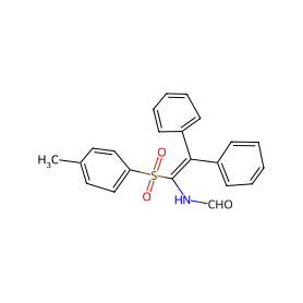 Cc1ccc(S(=O)(=O)C(NC=O)=C(c2ccccc2)c2ccccc2)cc1